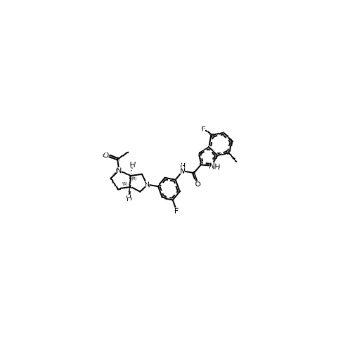 CC(=O)N1CC[C@H]2CN(c3cc(F)cc(NC(=O)c4cc5c(F)ccc(C)c5[nH]4)c3)C[C@@H]21